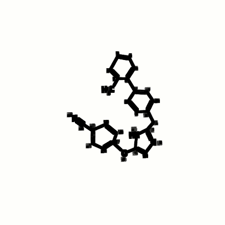 Cc1ccccc1-c1ccc(Cc2ncc(Oc3ccc(C#N)cc3)[nH]2)cc1